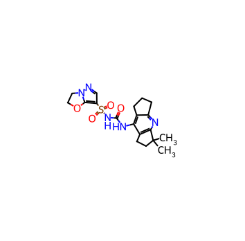 CC1(C)CCc2c1nc1c(c2NC(=O)NS(=O)(=O)c2cnn3c2OCC3)CCC1